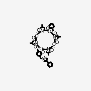 CC(C)C[C@H]1C(=O)O[C@H](Cc2ccc(Cn3cc(-c4ccccc4)cn3)cc2)C(=O)N(C)[C@@H](CC(C)C)C(=O)O[C@H](C)C(=O)N(C)[C@@H](CC(C)C)C(=O)O[C@H](Cc2ccccc2)C(=O)N(C)[C@@H](CC(C)C)C(=O)O[C@H](C)C(=O)N1C